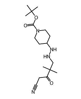 CC(C)(C)OC(=O)N1CCC(NNCC(C)(C)C(=O)CC#N)CC1